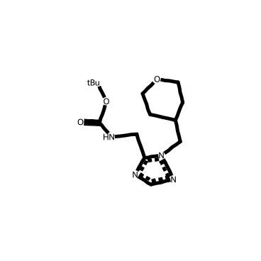 CC(C)(C)OC(=O)NCc1ncnn1CC1CCOCC1